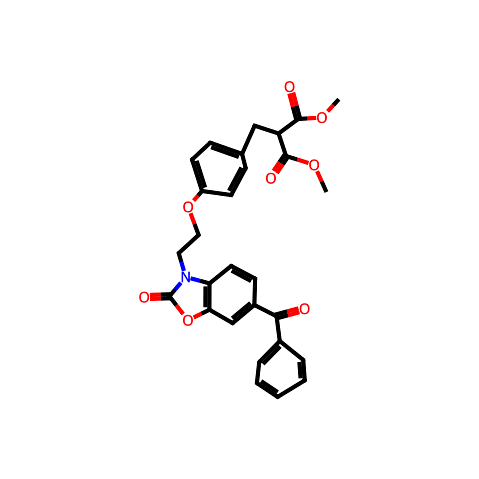 COC(=O)C(Cc1ccc(OCCn2c(=O)oc3cc(C(=O)c4ccccc4)ccc32)cc1)C(=O)OC